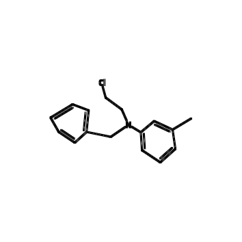 Cc1cccc(N(CCCl)Cc2ccccc2)c1